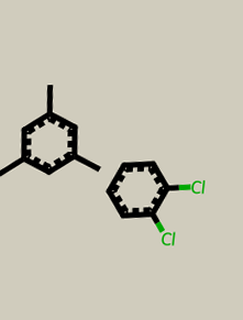 Cc1cc(C)cc(C)c1.Clc1ccccc1Cl